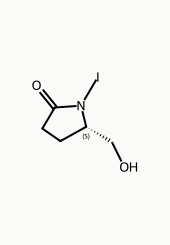 O=C1CC[C@@H](CO)N1I